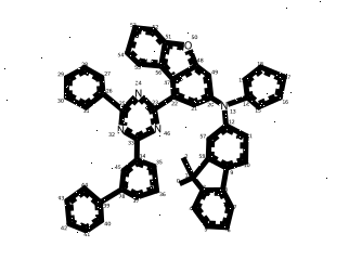 CC1(C)c2ccccc2-c2ccc(N(c3ccccc3)c3cc(-c4nc(-c5ccccc5)nc(-c5cccc(-c6ccccc6)c5)n4)c4c(c3)oc3ccccc34)cc21